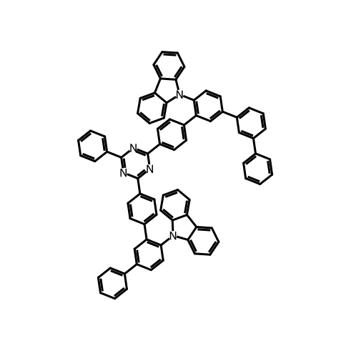 c1ccc(-c2cccc(-c3ccc(-n4c5ccccc5c5ccccc54)c(-c4ccc(-c5nc(-c6ccccc6)nc(-c6ccc(-c7cc(-c8ccccc8)ccc7-n7c8ccccc8c8ccccc87)cc6)n5)cc4)c3)c2)cc1